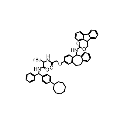 CCCCC(NC(=O)COc1ccc2c(c1)CCc1ccccc1C2NC(=O)OCC1c2ccccc2-c2ccccc21)C(=O)NC(c1ccccc1)c1ccc(C2CCCCCCC2)cc1